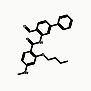 CCCCOc1cc(NC)ccc1C(=O)Nc1cc(-c2ccccc2)ccc1C=O